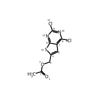 CC(=O)OCc1cc2c(Cl)nc(Cl)nc2s1